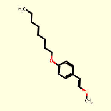 CCCCCCCCOc1ccc(/C=C/OC)cc1